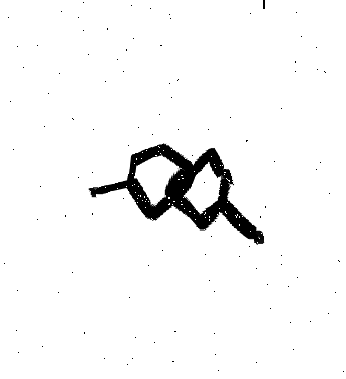 O=C1Cc2cc(F)ccc2C=N1